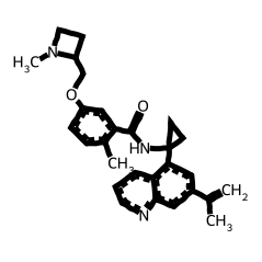 C=C(C)c1cc(C2(NC(=O)c3cc(OCC4CCN4C)ccc3C)CC2)c2cccnc2c1